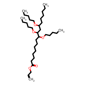 C=CCOC(=O)CCCCCCCC(OCCCCC)C(CC(CCCCCC)OCCCCC)OCCCCC